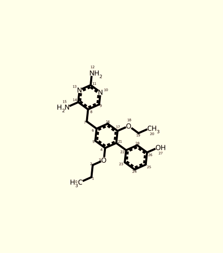 CCCOc1cc(Cc2cnc(N)nc2N)cc(OCC)c1-c1cccc(O)c1